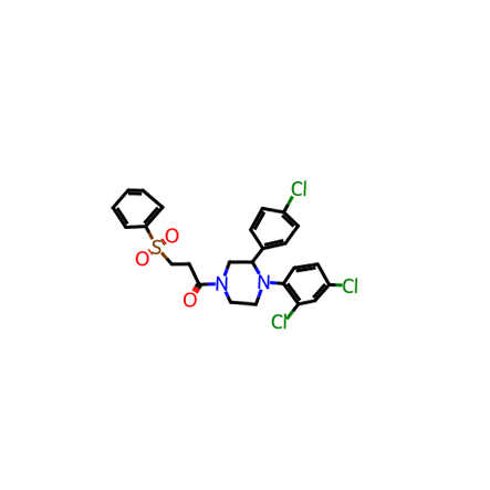 O=C(CCS(=O)(=O)c1ccccc1)N1CCN(c2ccc(Cl)cc2Cl)C(c2ccc(Cl)cc2)C1